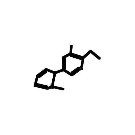 CCc1ncc(C2C=CC=CN2C)cc1C